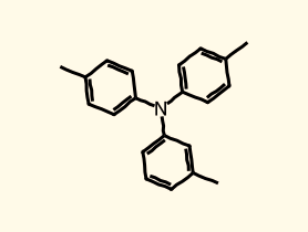 Cc1ccc(N(c2ccc(C)cc2)c2cccc(C)c2)cc1